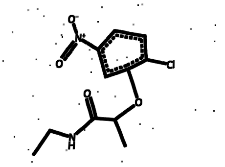 CCNC(=O)C(C)Oc1cc([N+](=O)[O-])ccc1Cl